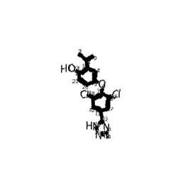 CC(C)c1cc(Oc2c(Cl)cc(-c3nnn[nH]3)cc2Cl)ccc1O